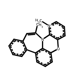 CC1=Cc2ccccc2-c2cccc3c2N1c1c(ccc[n+]1C)O3